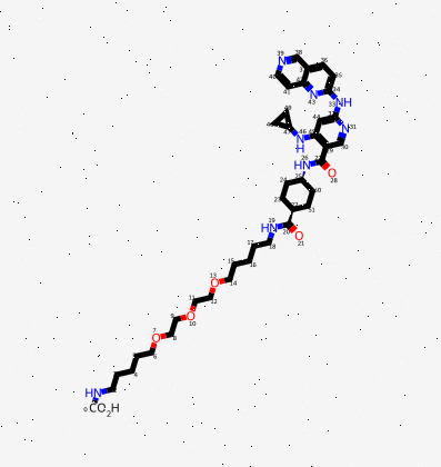 O=C(O)NCCCCCOCCOCCOCCCCCNC(=O)[C@H]1CC[C@H](NC(=O)c2cnc(Nc3ccc4cnccc4n3)cc2NC2CC2)CC1